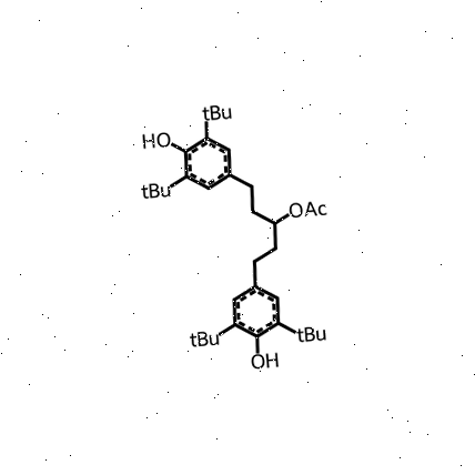 CC(=O)OC(CCc1cc(C(C)(C)C)c(O)c(C(C)(C)C)c1)CCc1cc(C(C)(C)C)c(O)c(C(C)(C)C)c1